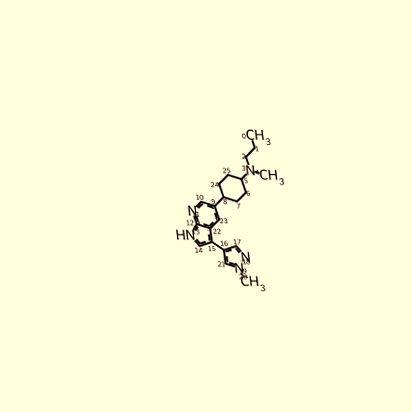 CCCN(C)C1CCC(c2cnc3[nH]cc(-c4cnn(C)c4)c3c2)CC1